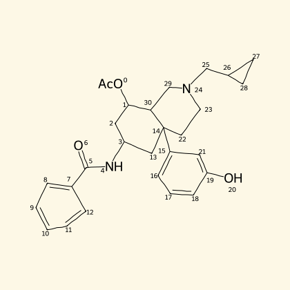 CC(=O)OC1CC(NC(=O)c2ccccc2)CC2(c3cccc(O)c3)CCN(CC3CC3)CC12